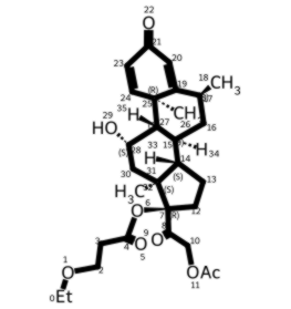 CCOCCC(=O)O[C@]1(C(=O)COC(C)=O)CC[C@H]2[C@@H]3C[C@H](C)C4=CC(=O)C=C[C@]4(C)[C@H]3[C@@H](O)C[C@@]21C